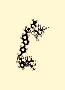 COC(=O)N[C@H](C(=O)N1[C@@H]2CC[C@@H](C2)[C@H]1c1ncc(-c2ccc(-c3ccc4cc(-c5cnc([C@@H]6CC7(CC7)CN6C(=O)[C@@H](NC(=O)OC)[C@@H](C)OC)[nH]5)ccc4c3)cc2)[nH]1)C(C)C